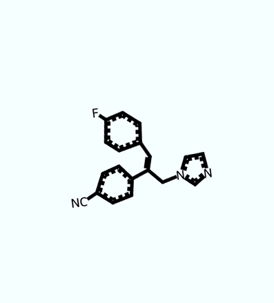 N#Cc1ccc(/C(=C\c2ccc(F)cc2)Cn2ccnc2)cc1